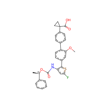 COc1cc(-c2sc(F)cc2NC(=O)O[C@H](C)c2ccccc2)ccc1-c1ccc(C2(C(=O)O)CC2)cc1